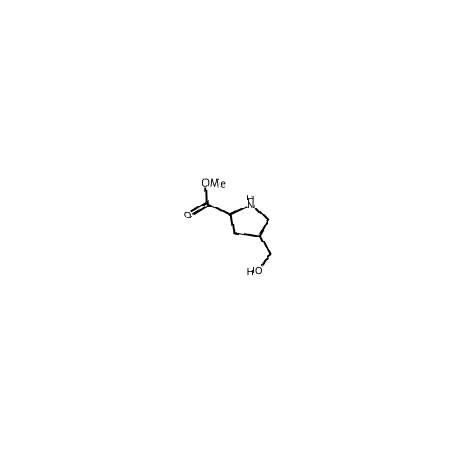 COC(=O)C1CC(CO)CN1